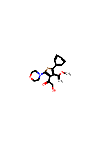 C=C(OC)c1c(-c2ccccc2)sc(N2CCOCC2)c1C(=O)CO